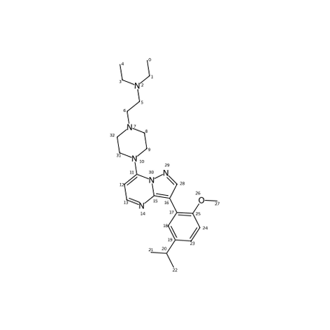 CCN(CC)CCN1CCN(c2ccnc3c(-c4cc(C(C)C)ccc4OC)cnn23)CC1